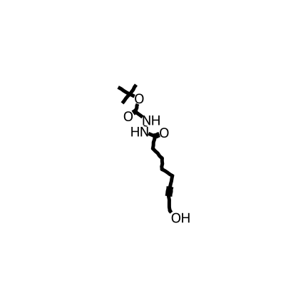 CC(C)(C)OC(=O)NNC(=O)CCCCC#CCO